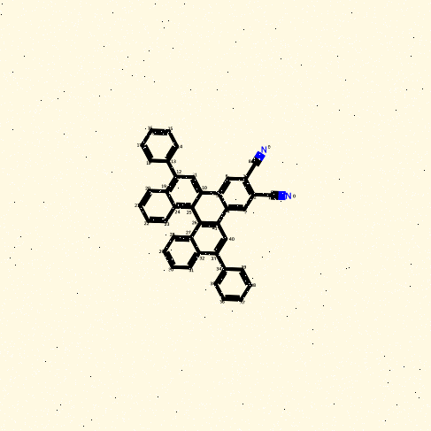 N#Cc1cc2c(cc1C#N)c1cc(-c3ccccc3)c3ccccc3c1c1c3ccccc3c(-c3ccccc3)cc21